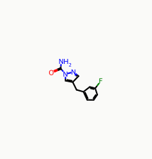 NC(=O)n1cc(Cc2cccc(F)c2)cn1